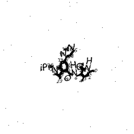 Cc1cc(C)c(CNC(=O)c2cc(-c3ccncn3)cc3c2c(C)cn3C(C)C)c(=O)[nH]1